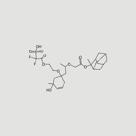 CC(CC1(OCCOC(=O)C(F)(F)S(=O)(=O)O)CC=CC(C)(O)C1)OCC(=O)OC1(C)C2CC3CC(C2)CC1C3